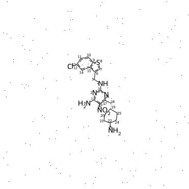 Nc1nc(NCc2csc3ccc(Cl)cc23)nc(C[C@H]2CC[C@H](N)CC2)c1[N+](=O)[O-]